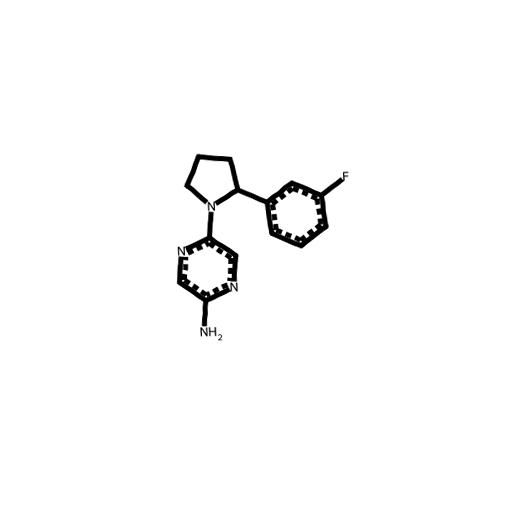 Nc1cnc(N2CCCC2c2cccc(F)c2)cn1